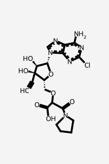 C#C[C@@]1(O)[C@@H](COC(C(=O)O)C(=O)N2CCCC2)O[C@@H](n2cnc3c(N)nc(Cl)nc32)[C@@H]1O